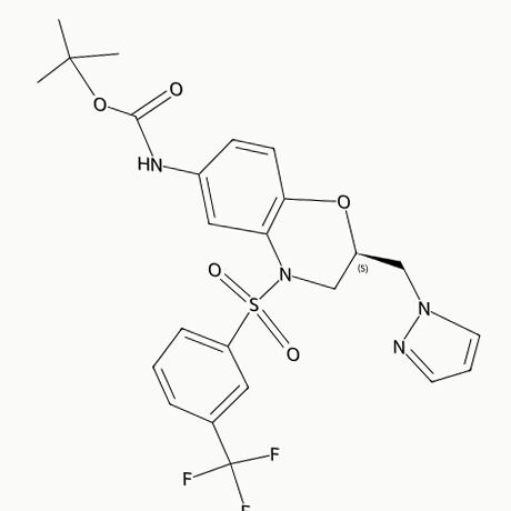 CC(C)(C)OC(=O)Nc1ccc2c(c1)N(S(=O)(=O)c1cccc(C(F)(F)F)c1)C[C@H](Cn1cccn1)O2